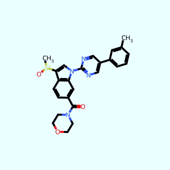 Cc1cccc(-c2cnc(-n3cc([S+](C)[O-])c4ccc(C(=O)N5CCOCC5)cc43)nc2)c1